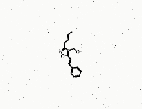 CCCCc1noc(C=Cc2ccccc2)c1CO